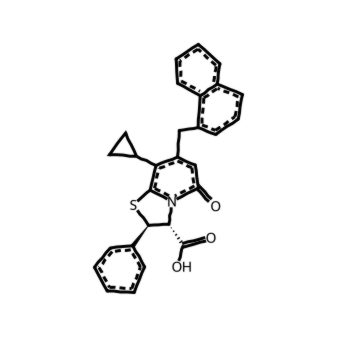 O=C(O)[C@@H]1[C@@H](c2ccccc2)Sc2c(C3CC3)c(Cc3cccc4ccccc34)cc(=O)n21